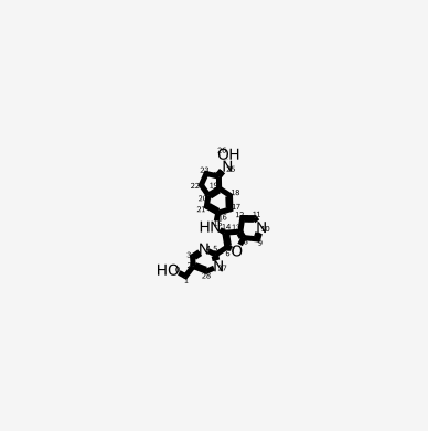 OCc1cnc(-c2oc3cnccc3c2Nc2ccc3c(c2)CCC3=NO)nc1